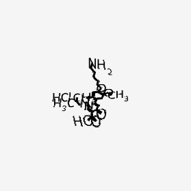 COc1cc2c(cc1OCCCCCN)CN(CC(C)C)n1cc(C(=O)O)c(=O)cc1-2.Cl